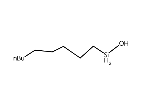 CCCCCCCCC[SiH2]O